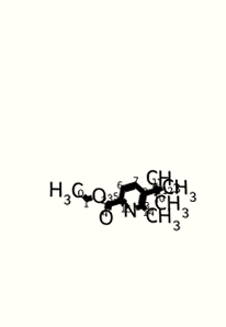 CCOC(=O)c1ccc(C(C)(C)C)c(C)n1